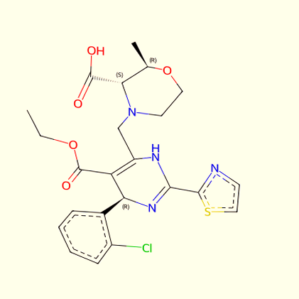 CCOC(=O)C1=C(CN2CCO[C@H](C)[C@H]2C(=O)O)NC(c2nccs2)=N[C@H]1c1ccccc1Cl